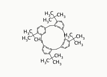 CC(C)(C)c1ccc2cc1Cc1ccc(C(C)(C)C)c(c1)Cc1ccc(C(C)(C)C)c(c1)Cc1ccc(C(C)(C)C)c(c1)C2